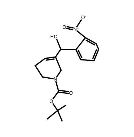 CC(C)(C)OC(=O)N1CCC=C(C(O)c2ccccc2[N+](=O)[O-])C1